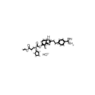 CCOC(=O)CCN(C(=O)Oc1ccc2[nH]c(CCc3ccc(C(=N)N)cc3)nc2c1C)C1CCCC1.Cl